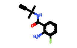 C#CC(C)(C)NC(=O)c1cccc(F)c1N